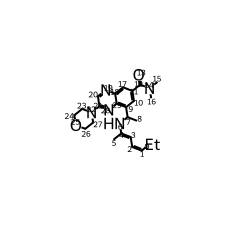 CC/C=C\C=C(/C)NC(C)c1cc(C(=O)N(C)C)cc2ncc(N3CCOCC3)nc12